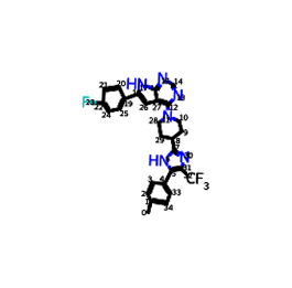 Cc1ccc(-c2[nH]c(C3CCN(c4ncnc5[nH]c(-c6ccc(F)cc6)cc45)CC3)nc2C(F)(F)F)cc1